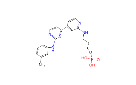 O=P(O)(O)OCCCNc1cc(-c2ccnc(Nc3cccc(C(F)(F)F)c3)n2)ccn1